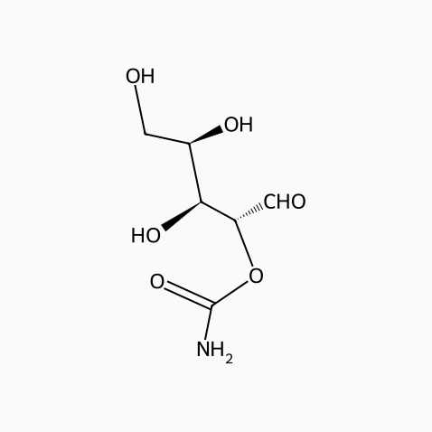 NC(=O)O[C@@H](C=O)[C@@H](O)[C@H](O)CO